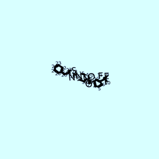 O=S(=O)(c1cccc(C(F)(F)F)c1)N1CCN(c2nc(Cc3ccccc3)cs2)CC1